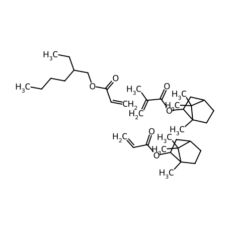 C=C(C)C(=O)OC1CC2CCC1(C)C2(C)C.C=CC(=O)OC1CC2CCC1(C)C2(C)C.C=CC(=O)OCC(CC)CCCC